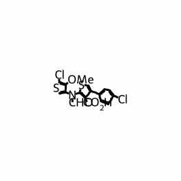 COc1c(N(C=O)c2scc(-c3ccc(Cl)cc3)c2C(=O)O)csc1Cl